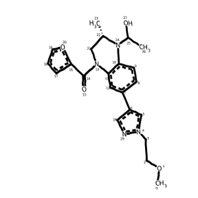 COCCn1cc(-c2ccc3c(c2)N(C(=O)c2ccco2)C[C@H](C)N3C(C)O)cn1